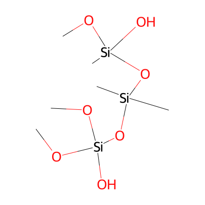 CO[Si](C)(O)O[Si](C)(C)O[Si](O)(OC)OC